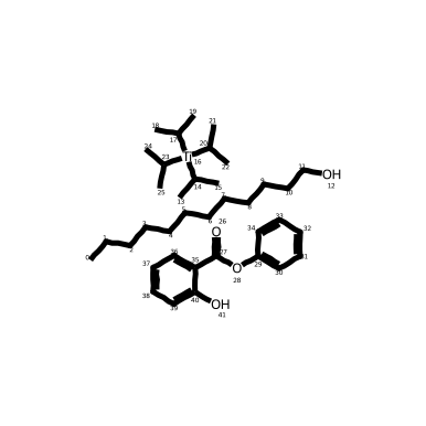 CCCCCCCCCCCCO.C[CH](C)[Ti]([CH](C)C)([CH](C)C)[CH](C)C.O=C(Oc1ccccc1)c1ccccc1O